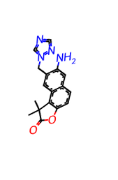 CC1(C)C(=O)Oc2ccc3cc(N)c(Cn4cncn4)cc3c21